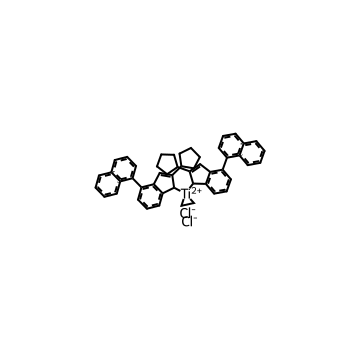 C1=C(C2CCCC2)[CH]([Ti+2]2([CH]3C(C4CCCC4)=Cc4c(-c5cccc6ccccc56)cccc43)[CH2][CH2]2)c2cccc(-c3cccc4ccccc34)c21.[Cl-].[Cl-]